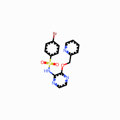 O=S(=O)(Nc1nccnc1OCc1ccccn1)c1ccc(Br)cc1